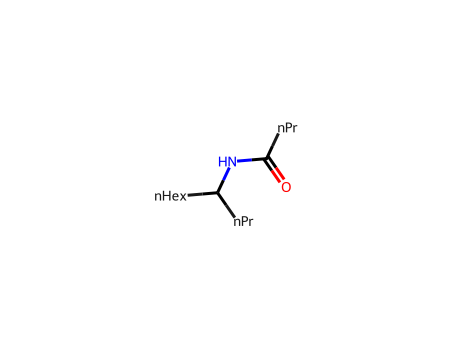 CCCCCCC(CCC)NC(=O)CCC